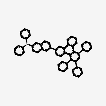 c1ccc(-c2cc(-c3ccccc3)c3c4ccccc4c4cc(-c5ccc6cc(N(c7ccccc7)c7ccccc7)ccc6c5)ccc4c3c2-c2ccccc2)cc1